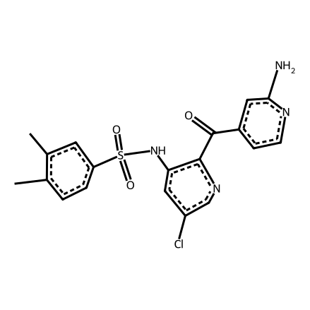 Cc1ccc(S(=O)(=O)Nc2cc(Cl)cnc2C(=O)c2ccnc(N)c2)cc1C